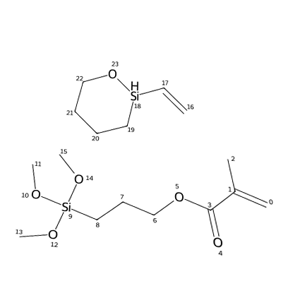 C=C(C)C(=O)OCCC[Si](OC)(OC)OC.C=C[SiH]1CCCCO1